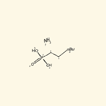 CCCCCCP(=O)(O)O.N